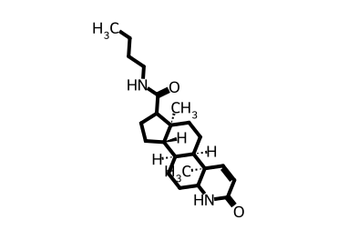 CCCCNC(=O)C1CC[C@H]2[C@@H]3CCC4NC(=O)C=C[C@]4(C)[C@@H]3CC[C@]12C